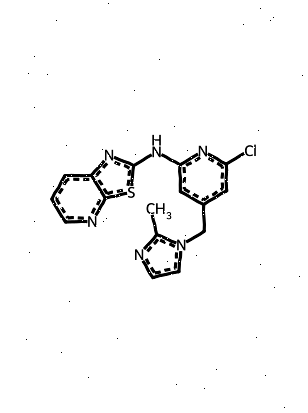 Cc1nccn1Cc1cc(Cl)nc(Nc2nc3cccnc3s2)c1